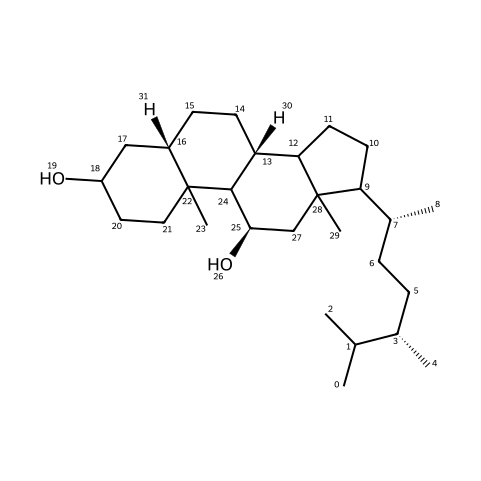 CC(C)[C@@H](C)CC[C@@H](C)C1CCC2[C@H]3CC[C@H]4CC(O)CCC4(C)C3[C@H](O)CC21C